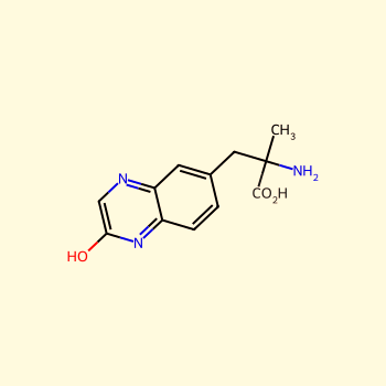 CC(N)(Cc1ccc2nc(O)cnc2c1)C(=O)O